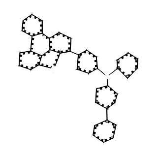 c1ccc(-c2ccc(N(c3ccccc3)c3ccc(-c4ccc5c6ccccc6c6cccc7oc4c5c76)cc3)cc2)cc1